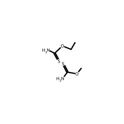 CCOC(N)=S.COC(N)=S